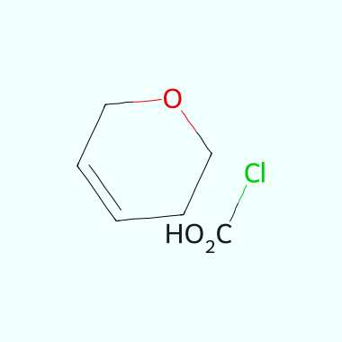 C1=CCOCC1.O=C(O)Cl